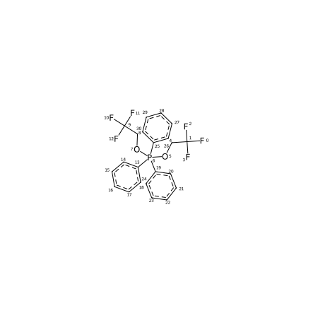 FC(F)(F)COP(OCC(F)(F)F)(c1ccccc1)(c1ccccc1)c1ccccc1